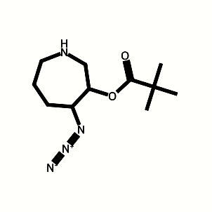 CC(C)(C)C(=O)OC1CNCCCC1N=[N+]=[N-]